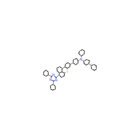 c1ccc(-c2ccc(N(c3ccccc3)c3ccc(-c4ccc5c(c4)Sc4ccc(-c6nc(-c7ccccc7)nc(-c7ccccc7)n6)c6cccc-5c46)cc3)cc2)cc1